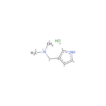 CN(C)Cc1cc[nH]c1.Cl